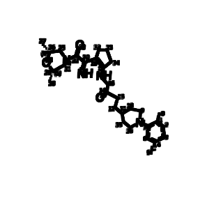 Cc1ccc(F)cc1N1CCC(CCC(=O)CNC2=C(C(=N)C(=O)N3C[C@@H](C)O[C@@H](C)C3)CCC2)CC1